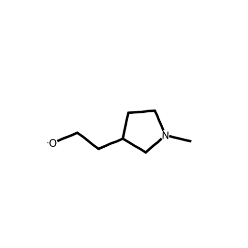 CN1CCC(CC[O])C1